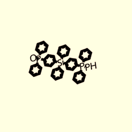 O=P(c1ccccc1)(c1ccccc1)c1ccc([Si](c2ccccc2)(c2ccccc2)c2ccc(P(=P)(c3ccccc3)c3ccccc3)cc2)cc1